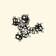 CCC(C)(CC(C)(CC(C)(CC(C)(C)C(=O)OC(CC)(CC)C12CC3CC(CC(C3)C1)C2)C(=O)OC(CC)(CC)C12CC3CC(CC(C3)C1)C2)C(=O)OC(CC)(CC)C12CC3CC(CC(C3)C1)C2)C(=O)OC(CC)(CC)C12CC3CC(CC(C3)C1)C2